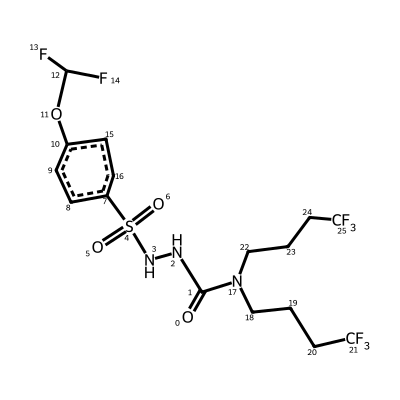 O=C(NNS(=O)(=O)c1ccc(OC(F)F)cc1)N(CCCC(F)(F)F)CCCC(F)(F)F